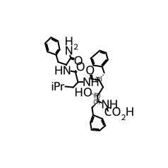 CC(C)CC(NC(=O)[C@H](Cc1ccccc1)C[C@@H](O)[C@H](Cc1ccccc1)NC(=O)O)C(=O)NC(Cc1ccccc1)C(N)=O